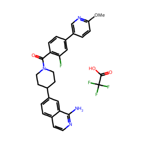 COc1ccc(-c2ccc(C(=O)N3CCC(c4ccc5ccnc(N)c5c4)CC3)c(F)c2)cn1.O=C(O)C(F)(F)F